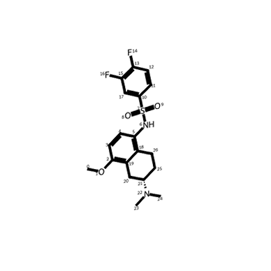 COc1ccc(NS(=O)(=O)c2ccc(F)c(F)c2)c2c1C[C@@H](N(C)C)CC2